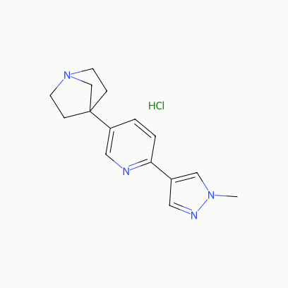 Cl.Cn1cc(-c2ccc(C34CCN(CC3)C4)cn2)cn1